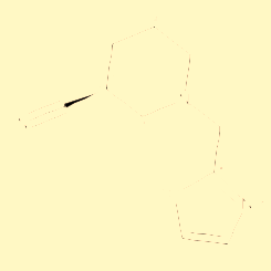 N#C[C@H]1CCCN(Cc2ncco2)C1